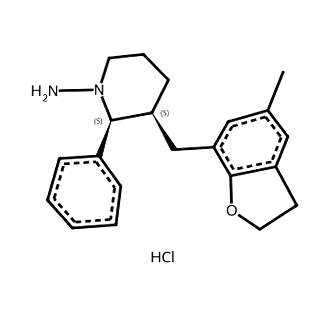 Cc1cc2c(c(C[C@@H]3CCCN(N)[C@@H]3c3ccccc3)c1)OCC2.Cl